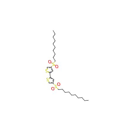 CCCCCCCCCCS(=O)(=O)c1csc(-c2cc(S(=O)(=O)CCCCCCCCCC)cs2)c1